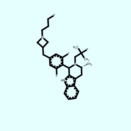 C[C@@H]1Cc2c([nH]c3ccccc23)C(c2c(F)cc(CC3CN(CCCF)C3)cc2F)N1CC(C)(C)F